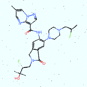 Cc1cnc2c(C(=O)Nc3cc4c(cc3N3CCN(CC(C)F)CC3)C(=O)N(C[C@@H](F)C(C)(C)O)C4)cnn2c1